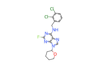 Fc1nc(NCc2cccc(Cl)c2Cl)c2ncn(C3CCCCO3)c2n1